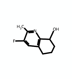 Cc1nc2c(cc1F)CCCC2O